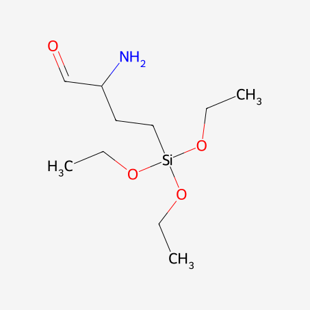 CCO[Si](CCC(N)C=O)(OCC)OCC